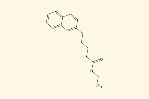 CCOC(=O)CCCCc1ccc2ccccc2c1